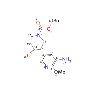 COc1ncc([C@H]2CN(C(=O)OC(C)(C)C)CCC2=O)cc1N